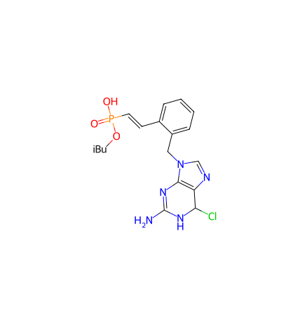 CCC(C)OP(=O)(O)C=Cc1ccccc1Cn1cnc2c1N=C(N)NC2Cl